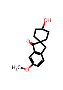 COc1ccc2c(c1)C(=O)C1(CCC(O)CC1)C2